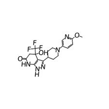 COc1ccc(N2CCC(c3n[nH]c4c3C(O)(C(F)(F)F)CC(=O)N4)CC2)cn1